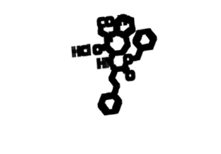 Cl.O=C(O)CN1C(=O)C(NC(CCc2ccccc2)C(=O)OCc2ccccc2)CCc2ccccc21